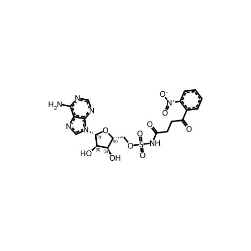 Nc1ncnc2c1ncn2[C@@H]1O[C@H](COS(=O)(=O)NC(=O)CCC(=O)c2ccccc2[N+](=O)[O-])[C@@H](O)[C@H]1O